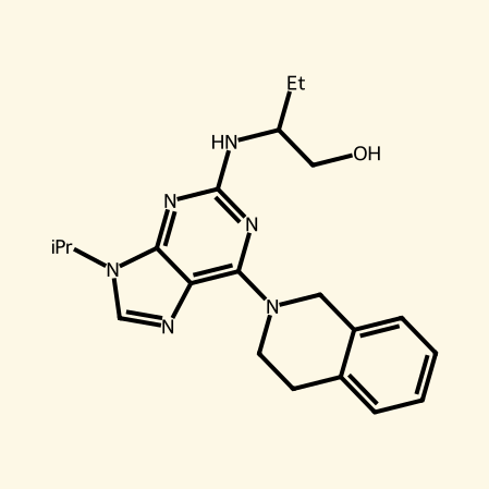 CCC(CO)Nc1nc(N2CCc3ccccc3C2)c2ncn(C(C)C)c2n1